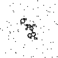 N#Cc1ccc(N2C[C@]3(C(=O)NC[C@H]4CNCCO4)C[C@]3(C(F)(F)F)C2)c2cccnc12